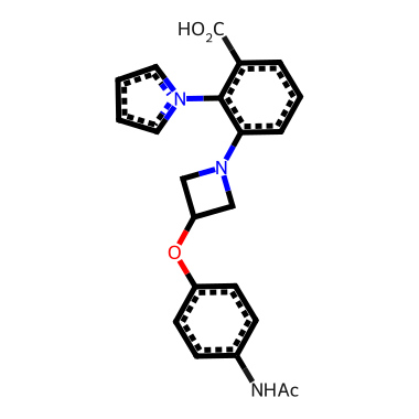 CC(=O)Nc1ccc(OC2CN(c3cccc(C(=O)O)c3-n3cccc3)C2)cc1